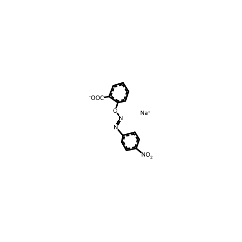 O=C([O-])c1ccccc1ON=Nc1ccc([N+](=O)[O-])cc1.[Na+]